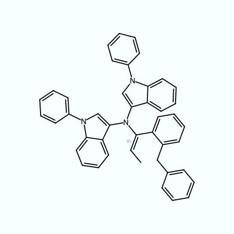 C/C=C(\c1ccccc1Cc1ccccc1)N(c1cn(-c2ccccc2)c2ccccc12)c1cn(-c2ccccc2)c2ccccc12